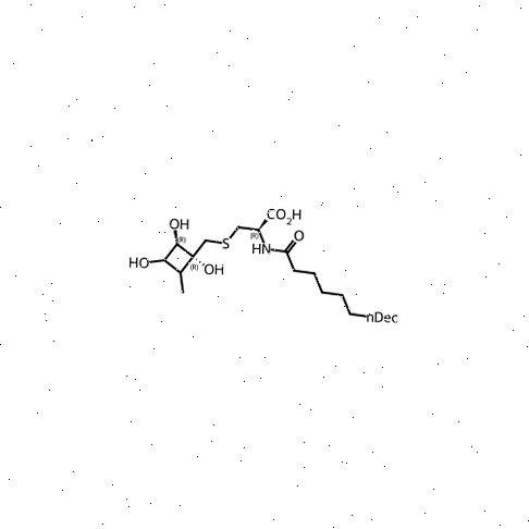 CCCCCCCCCCCCCCCC(=O)N[C@@H](CSC[C@@]1(O)C(C)C(O)[C@H]1O)C(=O)O